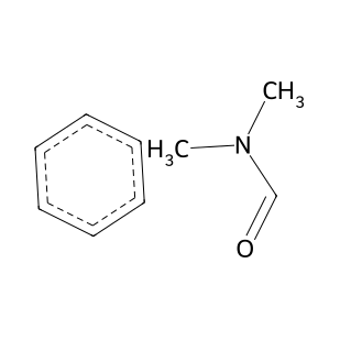 CN(C)C=O.c1ccccc1